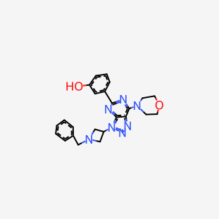 Oc1cccc(-c2nc(N3CCOCC3)c3nnn(C4CN(Cc5ccccc5)C4)c3n2)c1